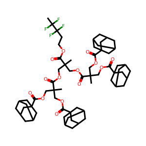 CC(COC(=O)C(C)(COC(=O)C12CC3CC(CC(C3)C1)C2)COC(=O)C12CC3CC(CC(C3)C1)C2)(COC(=O)C(C)(COC(=O)C12CC3CC(CC(C3)C1)C2)COC(=O)C12CC3CC(CC(C3)C1)C2)C(=O)OCCC(F)(F)C(C)(F)F